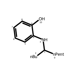 CCCCCC(CCCC)Nc1ccccc1O